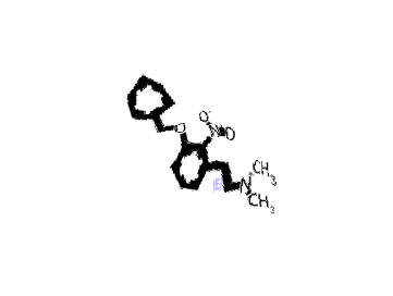 CN(C)/C=C/c1cccc(OCc2ccccc2)c1[N+](=O)[O-]